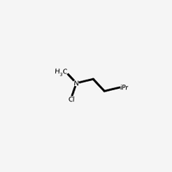 CC(C)CCN(C)Cl